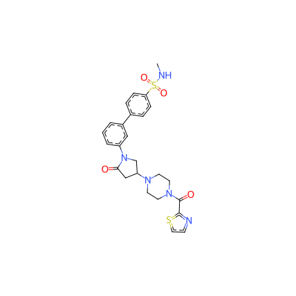 CNS(=O)(=O)c1ccc(-c2cccc(N3CC(N4CCN(C(=O)c5nccs5)CC4)CC3=O)c2)cc1